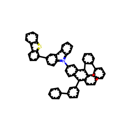 c1ccc(-c2cccc(-c3c4ccccc4c(-c4ccccc4-c4ccccc4)c4cc(-n5c6ccccc6c6cc(-c7cccc8c7sc7ccccc78)ccc65)ccc34)c2)cc1